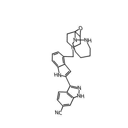 N#Cc1ccc2c(-c3cc4c(CN5CCC6(N7CCCCCN7)OC6C5)cccc4[nH]3)n[nH]c2c1